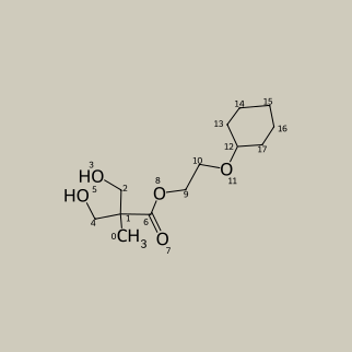 CC(CO)(CO)C(=O)OCCOC1CCCCC1